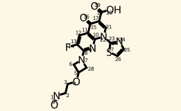 O=NCCOC1CN(c2nc3c(cc2F)c(=O)c(C(=O)O)cn3-c2nccs2)C1